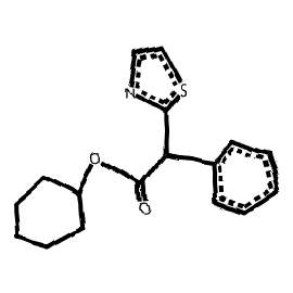 O=C(OC1CCCCC1)C(c1ccccc1)c1nccs1